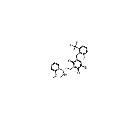 CN[C@@H](CCn1c(=O)c(Br)cn(Cc2c(F)cccc2C(F)(F)F)c1=O)c1ccccc1OC